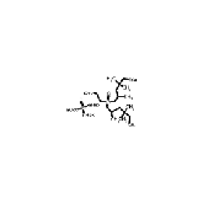 CCCCCCCCCCCCP(=O)(CC(C)CC(C)(C)CC(C)(C)C)CC(C)CC(C)(C)CC(C)(C)C.CCCCCCCCP(=O)(CCCCCC)CCCCCC